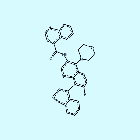 O=C(Nc1cnc2c(-c3cccc4ccccc34)c(F)ccc2c1N1CCOCC1)c1ccnc2ccccc12